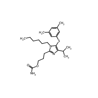 CCCCCCn1c(CCCOC(N)=O)nc(C(C)C)c1Sc1cc(C)cc(C)c1